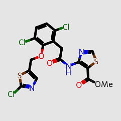 COC(=O)c1scnc1NC(=O)Cc1c(Cl)ccc(Cl)c1OCc1cnc(Cl)s1